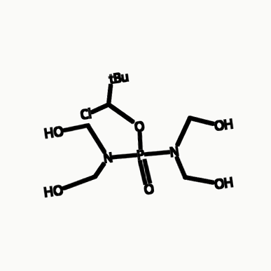 CC(C)(C)C(Cl)OP(=O)(N(CO)CO)N(CO)CO